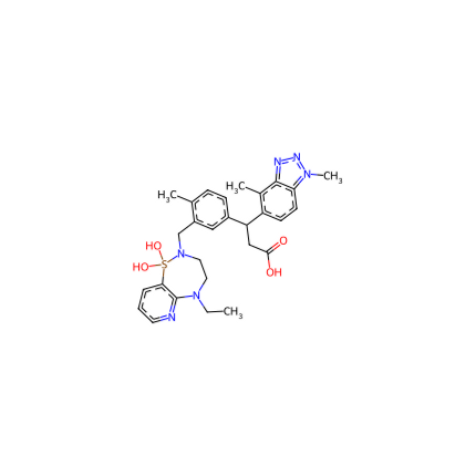 CCN1CCN(Cc2cc(C(CC(=O)O)c3ccc4c(nnn4C)c3C)ccc2C)S(O)(O)c2cccnc21